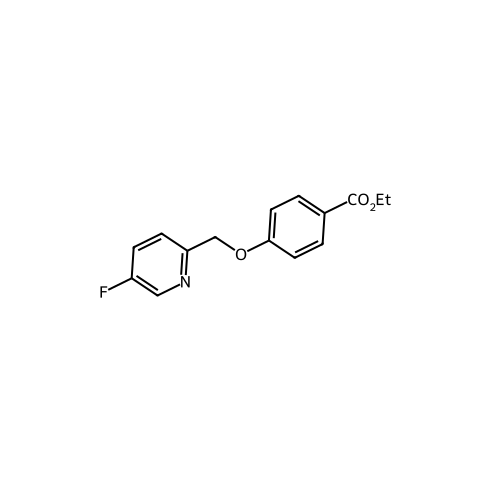 CCOC(=O)c1ccc(OCc2ccc(F)cn2)cc1